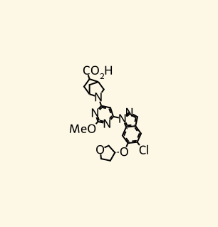 COc1nc(N2CC3CC2CC3C(=O)O)cc(-n2ncc3cc(Cl)c(O[C@@H]4CCOC4)cc32)n1